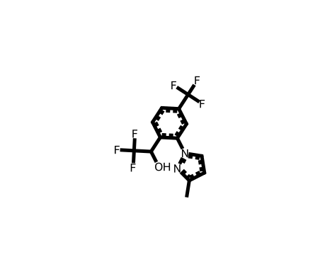 Cc1ccn(-c2cc(C(F)(F)F)ccc2C(O)C(F)(F)F)n1